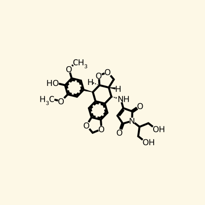 COc1cc([C@@H]2c3cc4c(cc3[C@@H](NC3=CC(=O)N(C(CO)CO)C3=O)[C@H]3COO[C@H]23)OCO4)cc(OC)c1O